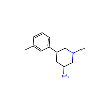 Cc1cccc(C2CC(N)CN(C(C)C)C2)c1